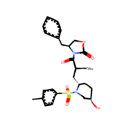 COC(C[C@@H]1CC[C@@H](O)CN1S(=O)(=O)c1ccc(C)cc1)C(=O)N1C(=O)OCC1Cc1ccccc1